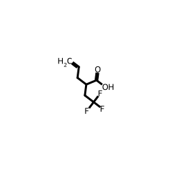 C=CCC(CC(F)(F)F)C(=O)O